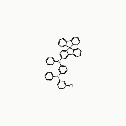 Clc1cccc(N(c2ccccc2)c2cccc(N(c3ccccc3)c3ccc4c(c3)-c3ccccc3C43c4ccccc4-c4ccccc43)c2)c1